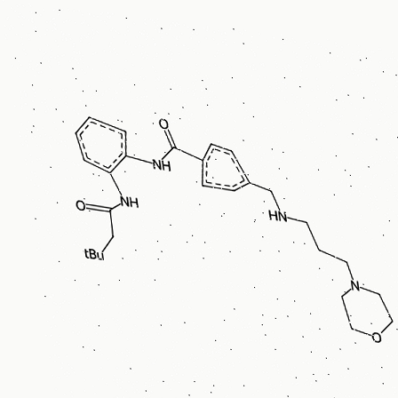 CC(C)(C)CC(=O)Nc1ccccc1NC(=O)c1ccc(CNCCCN2CCOCC2)cc1